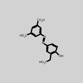 O=C(O)Cc1cc(N=Nc2cc(C(=O)O)cc(C(=O)O)c2)ccc1O